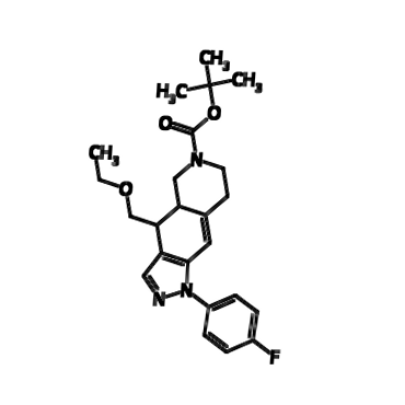 CCOCC1c2cnn(-c3ccc(F)cc3)c2C=C2CCN(C(=O)OC(C)(C)C)CC21